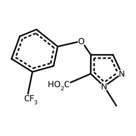 Cn1ncc(Oc2cccc(C(F)(F)F)c2)c1C(=O)O